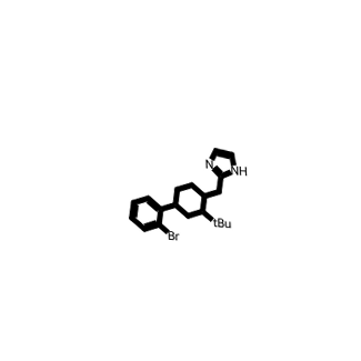 CC(C)(C)C1CC(c2ccccc2Br)CCC1Cc1ncc[nH]1